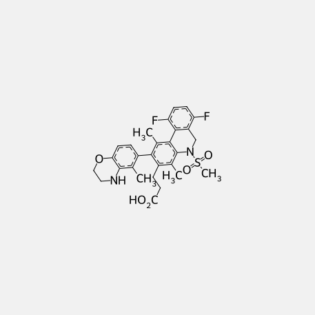 Cc1c(-c2c(C)c3c(c(C)c2CCC(=O)O)N(S(C)(=O)=O)Cc2c(F)ccc(F)c2-3)ccc2c1NCCO2